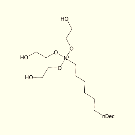 CCCCCCCCCCCCCCCC[N+](OCCO)(OCCO)OCCO